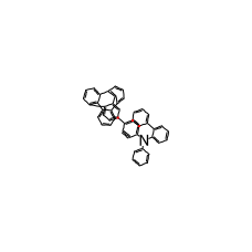 c1c(-c2ccc3c(c2)-c2c4cccc2-c2cccc-3c2-c2ccccc2-4)ccc(N(c2ccccc2)c2ccccc2-c2ccccc2)c#1